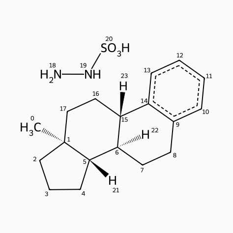 C[C@@]12CCC[C@H]1[C@@H]1CCc3ccccc3[C@H]1CC2.NNS(=O)(=O)O